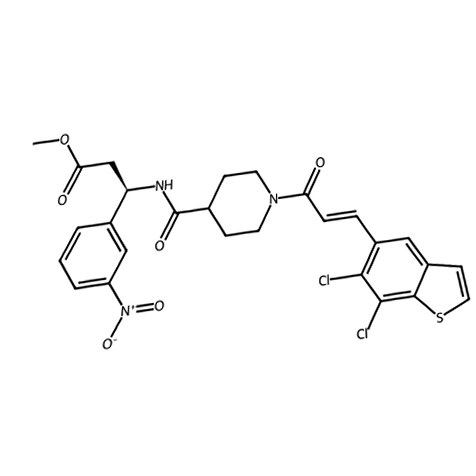 COC(=O)C[C@@H](NC(=O)C1CCN(C(=O)/C=C/c2cc3ccsc3c(Cl)c2Cl)CC1)c1cccc([N+](=O)[O-])c1